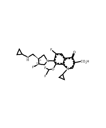 O=C(O)c1cn(C2CC2)c2c(OC(F)F)c(N3C[C@H](CNC4CC4)[C@H](F)C3)c(F)cc2c1=O